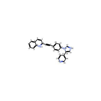 C(#Cc1ccc2ccccc2n1)c1ccc(-n2cncc2-c2ccncc2)cc1